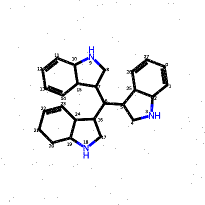 C1=CC2NCC(C(C3CNC4C=CC=CC43)C3CNC4CCC=CC43)C2C=C1